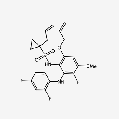 C=CCOc1cc(OC)c(F)c(Nc2ccc(I)cc2F)c1NS(=O)(=O)C1(CC=C)CC1